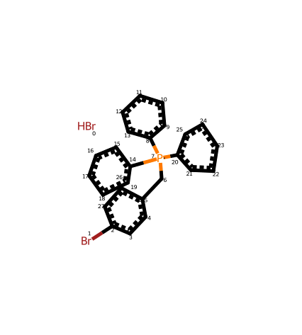 Br.Brc1ccc(C[P](c2ccccc2)(c2ccccc2)c2ccccc2)cc1